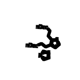 CCCCCCCCCCCCc1ccsc1CCCCCCCCCCCC.c1cscn1